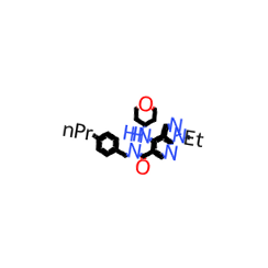 CCCc1ccc(CNC(=O)c2cnc3c(cnn3CC)c2NC2CCOCC2)cc1